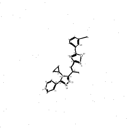 Cc1cccc(-c2nc(CC(C)c3nnc(-c4ccncc4)n3C3CC3)no2)c1